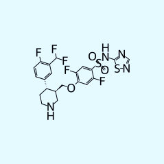 O=S(=O)(Nc1ncns1)c1cc(F)c(OC[C@H]2CNCC[C@@H]2c2ccc(F)c(C(F)F)c2)cc1F